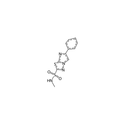 CNS(=O)(=O)c1nn2cc(-c3ccccc3)nc2s1